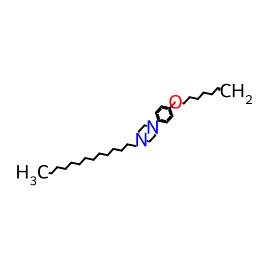 C=CCCCCCOc1ccc(N2CCN(CCCCCCCCCCCCCC)CC2)cc1